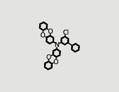 Clc1cc(-c2ccccc2)cc(N(c2ccc3c(c2)Oc2ccccc2O3)c2ccc3c(c2)Oc2ccccc2O3)c1